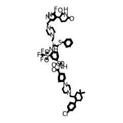 CC1(C)CCC(c2ccc(Cl)cc2)=C(CN2CCN(c3ccc(C(=O)NS(=O)(=O)c4ccc(N[C@H](CCN5CCN(Cc6cc(C7CCC(=O)NC7=O)c(F)nn6)CC5)CSc5ccccc5)c(S(=O)(=O)C(F)(F)F)c4)cc3)CC2)C1